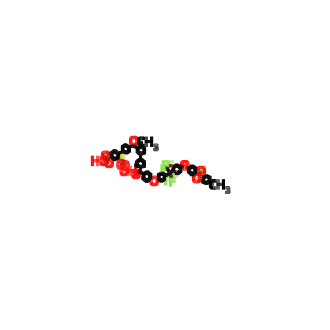 Cc1ccc(S(=O)(=O)c2ccc(Oc3ccc(C(c4ccc(Oc5ccc(C(=O)c6ccc(-c7ccc(C)c(C(=O)c8ccc(-c9ccc(S(=O)(=O)O)cc9SOOO)cc8)c7)cc6)cc5)cc4)(C(F)(F)F)C(F)(F)F)cc3)cc2)cc1